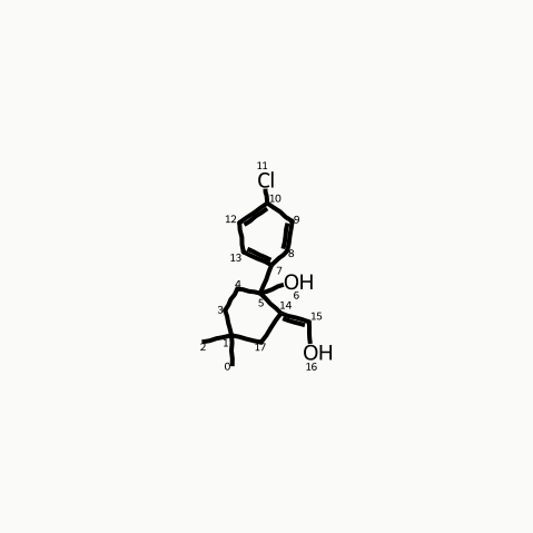 CC1(C)CCC(O)(c2ccc(Cl)cc2)C(=CO)C1